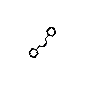 C(=C/Cc1ccccc1)/Cc1ccccc1